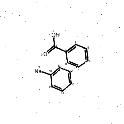 O=C(O)c1ccccc1.[Na][c]1ccccc1